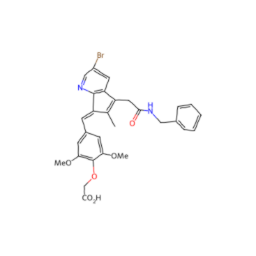 COc1cc(C=C2C(C)=C(CC(=O)NCc3ccccc3)c3cc(Br)cnc32)cc(OC)c1OCC(=O)O